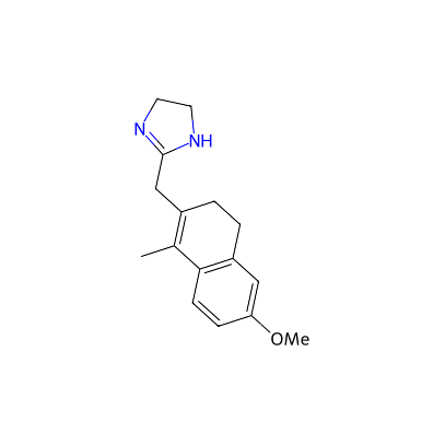 COc1ccc2c(c1)CCC(CC1=NCCN1)=C2C